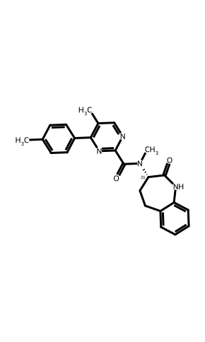 Cc1ccc(-c2nc(C(=O)N(C)[C@H]3CCc4ccccc4NC3=O)ncc2C)cc1